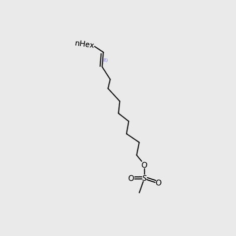 CCCCCC/C=C/CCCCCCCCOS(C)(=O)=O